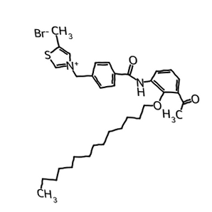 CCCCCCCCCCCCCCOc1c(NC(=O)c2ccc(C[n+]3csc(C)c3)cc2)cccc1C(C)=O.[Br-]